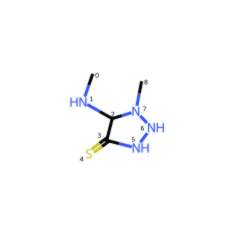 CNC1C(=S)NNN1C